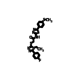 CCn1c(SCC(=O)Nc2nnc(-c3ccc(SC)cc3)s2)nnc1-c1ccc(F)cc1